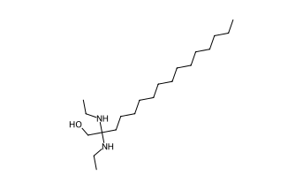 CCCCCCCCCCCCCCC(CO)(NCC)NCC